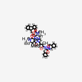 CC[C@H](C)[C@@H]([C@@H](CC(=O)N1CCC[C@H]1[C@H](OC)[C@@H](C)C(=O)N[C@@H](Cc1ccccc1)C(=O)N1Cc2ccccc2CO1)OC)N(C)C(=O)[C@@H](NC(=O)[C@H](C(C)C)N(C)C(=O)OCC1c2ccccc2-c2ccccc21)C(C)C